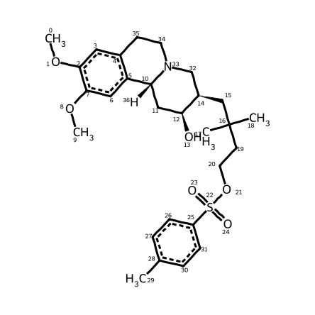 COc1cc2c(cc1OC)[C@H]1C[C@H](O)[C@H](CC(C)(C)CCOS(=O)(=O)c3ccc(C)cc3)CN1CC2